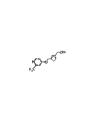 OCC1CC2(COc3ccnc(C(F)(F)F)c3)CC1C2